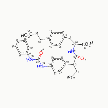 CC(C)CC(C(=O)N[C@@H](Cc1ccc(CCC(=O)O)cc1)C(=O)O)c1ccc(NC(=O)Nc2ccccc2)cc1